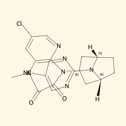 Cn1c(=O)c(=O)n([C@H]2C[C@H]3CC[C@@H](C2)N3c2ncc(C#N)cn2)c2ncc(Cl)cc21